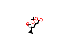 CC1(C)OC(=O)C=C(CC(=C=O)C2CC2)O1